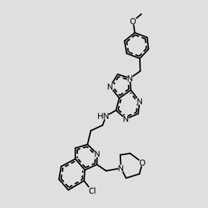 COc1ccc(Cn2cnc3c(NCCc4cc5cccc(Cl)c5c(CN5CCOCC5)n4)ncnc32)cc1